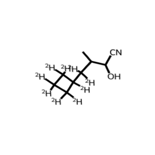 [2H]C([2H])(C(C)C(O)C#N)C1([2H])C([2H])([2H])C([2H])([2H])C1([2H])[2H]